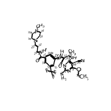 CCOc1nc(N)nc(N[C@@H](C)C(=O)Nc2cc(C(=O)NCCCN3CCN(C)CC3)cc(C(F)(F)F)c2)c1C#N